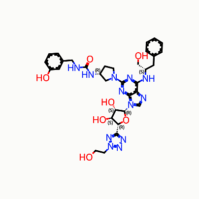 O=C(NCc1cccc(O)c1)N[C@@H]1CCN(c2nc(N[C@H](CO)Cc3ccccc3)c3ncn([C@@H]4O[C@H](c5nnn(CCO)n5)[C@@H](O)[C@@H]4O)c3n2)C1